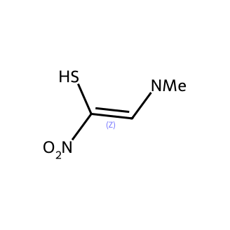 CN/C=C(\S)[N+](=O)[O-]